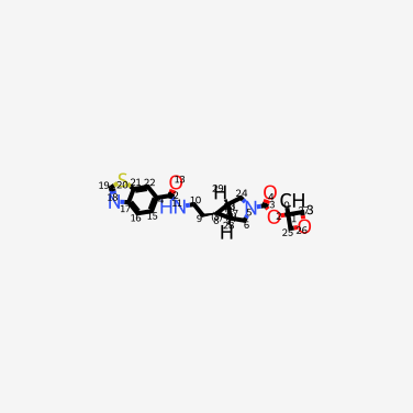 CC1(OC(=O)N2C[C@@H]3[C@@H](CCNC(=O)c4ccc5ncsc5c4)[C@@H]3C2)COC1